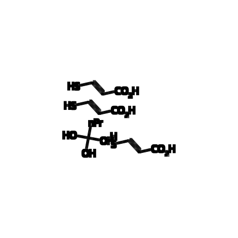 CCCC(O)(O)O.O=C(O)C=CS.O=C(O)C=CS.O=C(O)C=CS